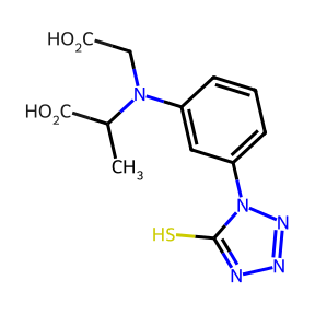 CC(C(=O)O)N(CC(=O)O)c1cccc(-n2nnnc2S)c1